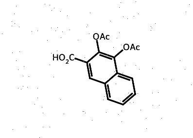 CC(=O)Oc1c(C(=O)O)cc2ccccc2c1OC(C)=O